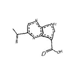 C=C(C)c1cnc2[nH]cc(C(=O)O)c2n1